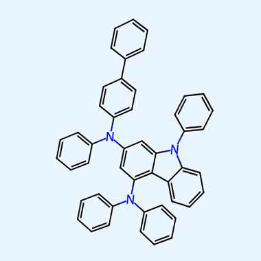 c1ccc(-c2ccc(N(c3ccccc3)c3cc(N(c4ccccc4)c4ccccc4)c4c5ccccc5n(-c5ccccc5)c4c3)cc2)cc1